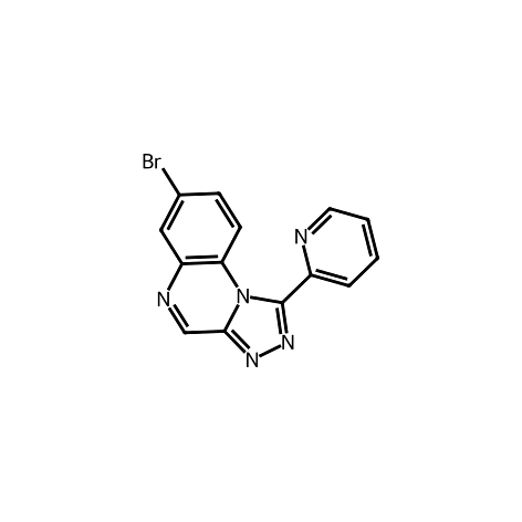 Brc1ccc2c(c1)ncc1nnc(-c3ccccn3)n12